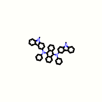 Cn1c2ccccc2c2cc(N(c3ccccc3)c3c4ccccc4c(N(c4ccccc4)c4ccc5c(c4)c4ccccc4n5C)c4ccccc34)ccc21